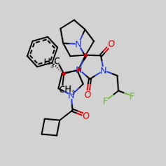 CC(C)N1C(=O)N(CC(F)F)C(=O)C12CC1CCC(C2)N1C[C@H]1CN(C(=O)C2CCC2)C[C@@H]1c1ccccc1